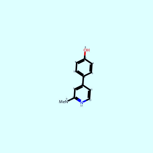 CNc1cc(-c2ccc(O)cc2)ccn1